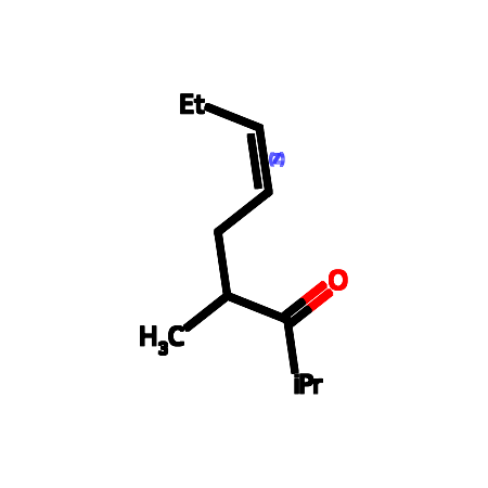 CC/C=C\CC(C)C(=O)C(C)C